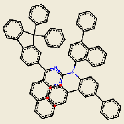 c1ccc(-c2ccc(N(c3nc(-c4ccc5c(c4)C(c4ccccc4)(c4ccccc4)c4ccccc4-5)c4ccc5ccccc5c4n3)c3ccc(-c4ccccc4)c4ccccc34)c(-c3ccccc3)c2)cc1